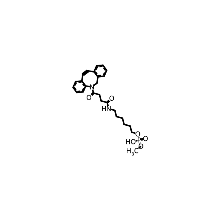 COP(=O)(O)OCCCCCCNC(=O)CCC(=O)N1Cc2ccccc2C#Cc2ccccc21